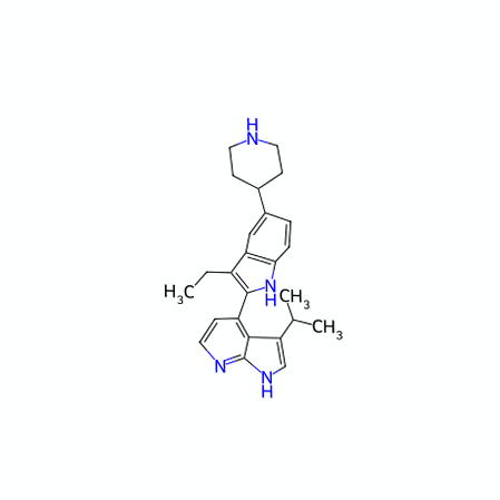 CCc1c(-c2ccnc3[nH]cc(C(C)C)c23)[nH]c2ccc(C3CCNCC3)cc12